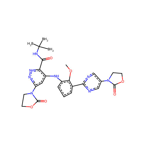 BC(B)(B)NC(=O)c1nnc(N2CCOC2=O)cc1Nc1cccc(-c2ncc(N3CCOC3=O)cn2)c1OC